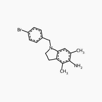 Cc1cc2c(c(C)c1N)CCN2Cc1ccc(Br)cc1